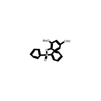 COc1cc(C=O)ccc1OP(=O)(c1ccccc1)c1ccccc1